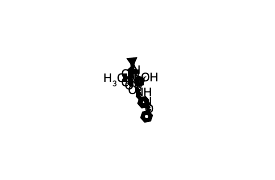 CC(C)(C)[C@@H](C(=O)N1C[C@H](O)C[C@H]1C(=O)NCc1ccc(OC2CCCCC2)nc1)n1cc(C2CC2)nn1